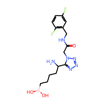 NC(CCCCB(O)O)c1nnnn1CC(=O)NCc1cc(F)ccc1F